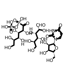 O=C([C@H](O)[C@@H](O)[C@H](O)[C@H](O)CO)P(=O)(O)OP(=O)(O)O.O=C[C@H](O)[C@@H](O)[C@H](O)[C@H](O)CO.O=c1ccn([C@@H]2O[C@H](CO)[C@@H](O)[C@H]2O)c(=O)[nH]1